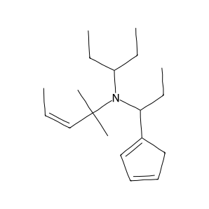 C/C=C\C(C)(C)N(C(CC)CC)C(CC)C1=CC=CC1